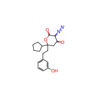 [N-]=[N+]=C1C(=O)CC(CCc2cccc(O)c2)(C2CCCC2)OC1=O